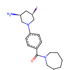 N[C@H]1C[C@@H](I)CN(c2ccc(C(=O)N3CCCCCC3)cc2)C1